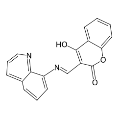 O=c1oc2ccccc2c(O)c1C=Nc1cccc2cccnc12